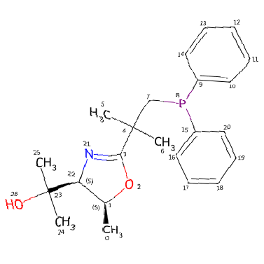 C[C@@H]1OC(C(C)(C)CP(c2ccccc2)c2ccccc2)=N[C@@H]1C(C)(C)O